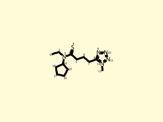 CCN(C(=S)CCCc1nnnn1C)C1CCCC1